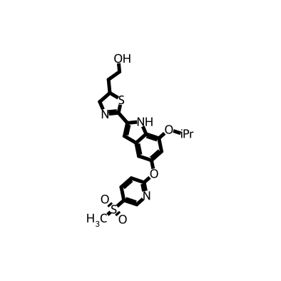 CC(C)Oc1cc(Oc2ccc(S(C)(=O)=O)cn2)cc2cc(C3=NCC(CCO)S3)[nH]c12